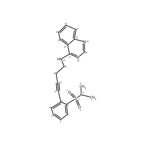 CN(C)S(=O)(=O)c1ccccc1C#CCCNc1ncnc2ccccc12